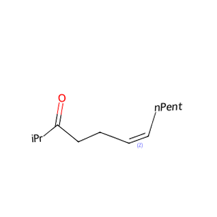 CCCCC/C=C\CCC(=O)C(C)C